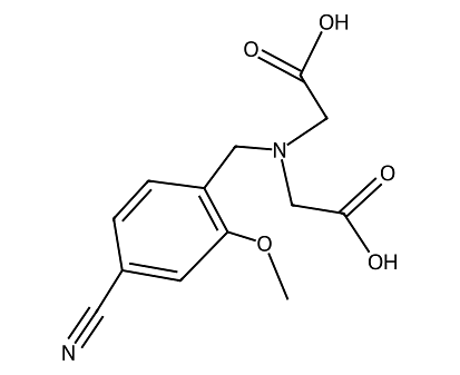 COc1cc(C#N)ccc1CN(CC(=O)O)CC(=O)O